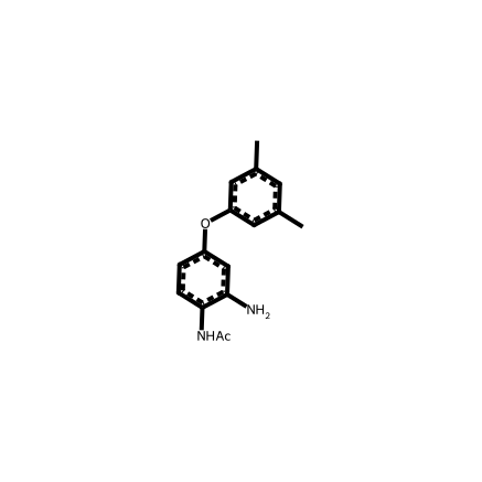 CC(=O)Nc1ccc(Oc2cc(C)cc(C)c2)cc1N